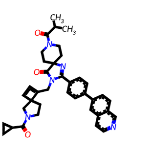 CC(C)C(=O)N1CCC2(CC1)N=C(c1ccc(-c3ccc4cnccc4c3)cc1)N(CC1=C=CC13CCN(C(=O)C1CC1)C3)C2=O